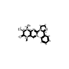 CC[C@@H]1C(=O)N(C)c2cnc(N3CCN=C3c3ccccc3)nc2N1C(C)C